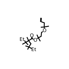 C=CCC(C)(C)OCCC(C)(C)OC(=O)C(C)(CC(C)(C)CC)C(C)(C)CC